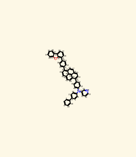 c1ccc(-c2ccc(N(c3ccc(-c4ccc5ccc6c(-c7ccc(-c8cccc9c8oc8ccccc89)cc7)ccc7ccc4c5c76)cc3)c3cccnc3)cc2)cc1